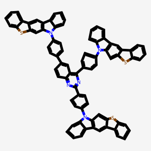 c1ccc2c(c1)sc1cc3c(cc12)c1ccccc1n3-c1ccc(-c2ccc3nc(-c4ccc(-n5c6ccccc6c6cc7c(cc65)sc5ccccc57)cc4)nc(-c4ccc(-n5c6ccccc6c6cc7c(cc65)sc5ccccc57)cc4)c3c2)cc1